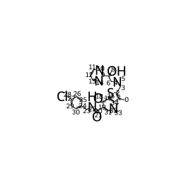 Cc1c(CN(C)CC(O)c2ncccn2)sc2c(=O)c(C(=O)NCc3ccc(Cl)cc3)cn(C)c12